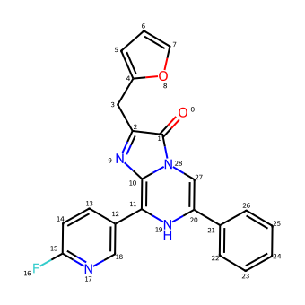 O=c1c(Cc2ccco2)nc2c(-c3ccc(F)nc3)[nH]c(-c3ccccc3)cn1-2